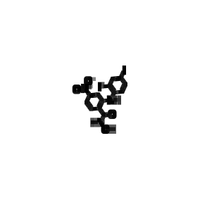 O=C(NO)c1ccc([N+](=O)[O-])cc1Nc1ccc(I)cc1F